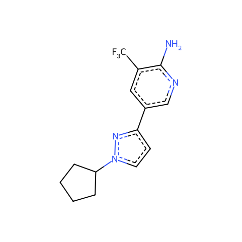 Nc1ncc(-c2ccn(C3CCCC3)n2)cc1C(F)(F)F